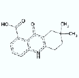 CC1(C)CCc2[nH]c3cccc(C(=O)O)c3c(=O)c2C1